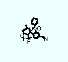 CC1=[C]C(=O)C(C(F)(F)F)C(c2ccc(C#N)cc2S(=O)(=O)c2ccccc2)=C1